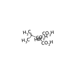 C=C(C)C(=O)O.O=[C](O)[BiH][C](=O)O